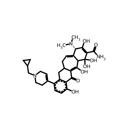 CN(C)[C@H]1C2=CCC3Cc4c(C5=CCN(CC6CC6)CC5)ccc(O)c4C(=O)C3=C(O)C2C(O)(O)C(C(N)=O)=C1O